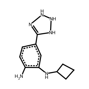 Nc1ccc(C2=NNNN2)cc1NC1CCC1